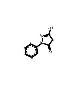 O=C1CC(Cl)=NN1c1ccccc1